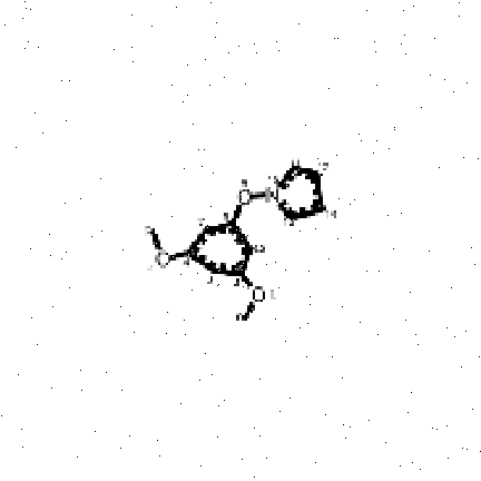 COc1cc(OC)cc(On2c[c]cc2)c1